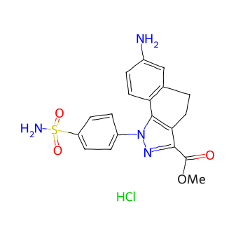 COC(=O)c1nn(-c2ccc(S(N)(=O)=O)cc2)c2c1CCc1cc(N)ccc1-2.Cl